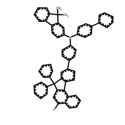 CC1(C)c2ccccc2-c2ccc(N(c3ccc(-c4ccccc4)cc3)c3ccc(-c4ccc5c(c4)C(c4ccccc4)(c4ccccc4)c4cc(F)c6ccccc6c4-5)cc3)cc21